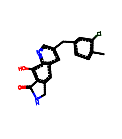 Cc1ccc(Cc2cnc3c(O)c4c(cc3c2)CNC4=O)cc1Cl